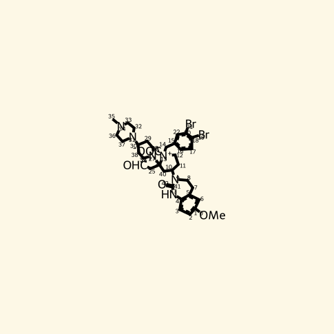 COc1ccc2c(c1)CCN(C1CC[N@+](Cc3ccc(Br)c(Br)c3)(C(=O)[O-])C(CC=O)(N3CCC(N4CCN(C)CC4)CC3)C1)C(=O)N2